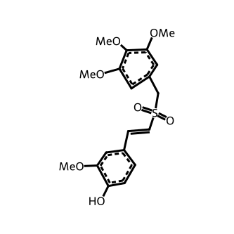 COc1cc(C=CS(=O)(=O)Cc2cc(OC)c(OC)c(OC)c2)ccc1O